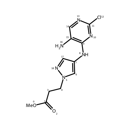 COC(=O)CCn1cc(Nc2nc(Cl)ncc2N)cn1